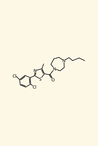 CCCCN1CCCN(C(=O)c2sc(-c3cc(Cl)ccc3Cl)nc2C)CC1